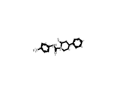 O=C(Nc1ccc(C(F)(F)F)cc1)N1CCC(c2ccccc2)CC1F